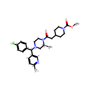 CC(C)(C)OC(=O)N1CCC(CC(=O)N2CCN(C(c3ccc(Cl)cc3)c3ccc(C(F)(F)F)nc3)C[C@@H]2C(C)(C)C)CC1